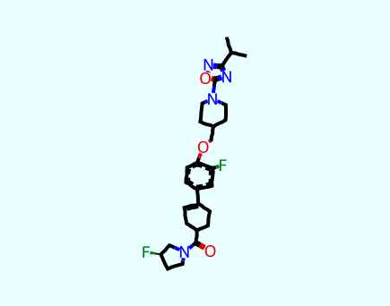 CC(C)c1noc(N2CCC(COc3ccc(C4=CCC(C(=O)N5CC[C@@H](F)C5)CC4)cc3F)CC2)n1